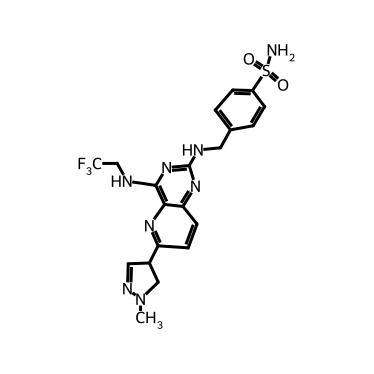 CN1CC(c2ccc3nc(NCc4ccc(S(N)(=O)=O)cc4)nc(NCC(F)(F)F)c3n2)C=N1